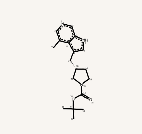 Cc1cncc2[nH]cc(C[C@@H]3CCN(C(=O)OC(C)(C)C)C3)c12